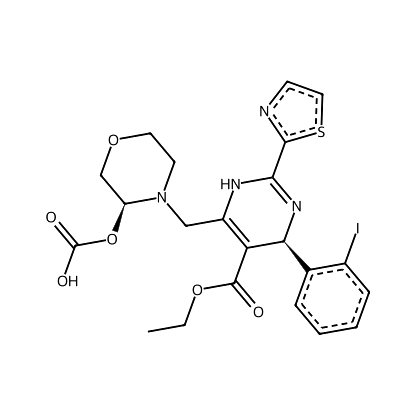 CCOC(=O)C1=C(CN2CCOC[C@@H]2OC(=O)O)NC(c2nccs2)=N[C@H]1c1ccccc1I